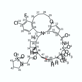 C[C@@H]1[C@@H](C)S(=O)(=O)NC(=O)c2ccc3c(c2)N(Cc2ccc(Cl)c(F)c2CCCCO3)C[C@@H]2CC[C@H]2[C@@H](OCCN2CCCS2(=O)=O)C2=C[C@H]1C2